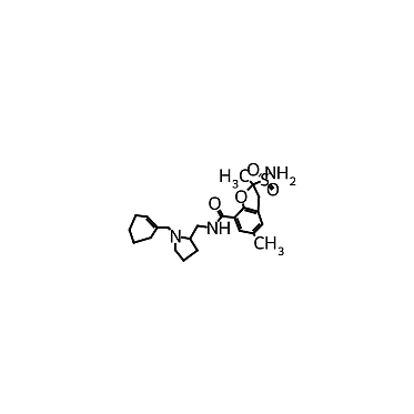 Cc1cc2c(c(C(=O)NCC3CCCN3CC3=CCCCC3)c1)OC(C)(S(N)(=O)=O)C2